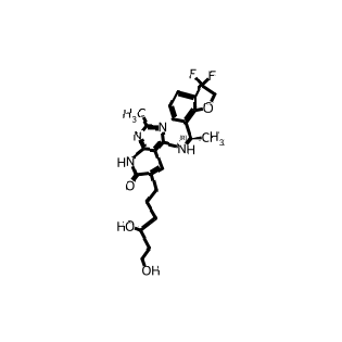 Cc1nc(N[C@H](C)c2cccc3c2OCC3(F)F)c2cc(CCCC(O)CCO)c(=O)[nH]c2n1